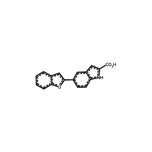 O=C(O)c1cc2cc(-c3cc4ccccc4o3)ccc2[nH]1